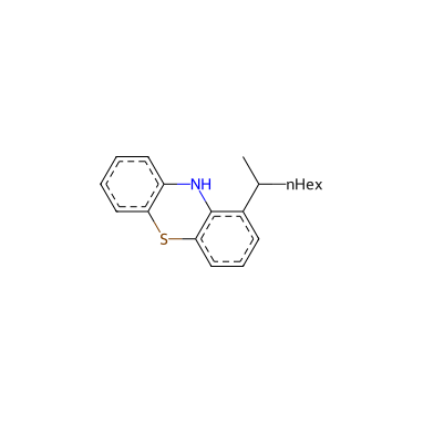 CCCCCCC(C)c1cccc2c1Nc1ccccc1S2